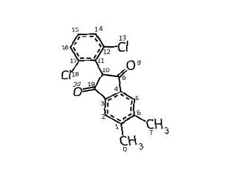 Cc1cc2c(cc1C)C(=O)C(c1c(Cl)cccc1Cl)C2=O